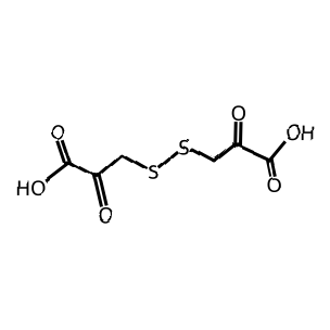 O=C(O)C(=O)CSSCC(=O)C(=O)O